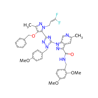 COc1ccc(Cn2nc(-c3c(OCc4ccccc4)c(C)nn3CC=C(F)F)nc2-n2nc(C(=O)NCc3ccc(OC)cc3OC)c3cc(C)ncc32)cc1